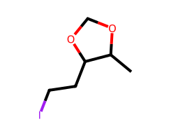 CC1OCOC1CCI